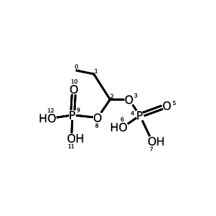 CCC(OP(=O)(O)O)OP(=O)(O)O